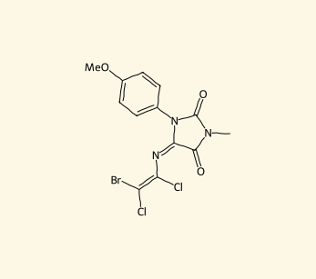 COc1ccc(N2C(=O)N(C)C(=O)C2=NC(Cl)=C(Cl)Br)cc1